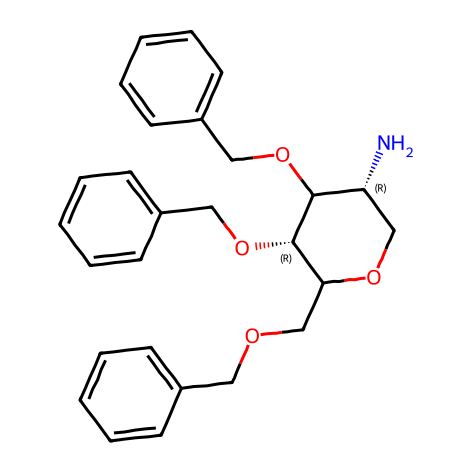 N[C@@H]1COC(COCc2ccccc2)[C@H](OCc2ccccc2)C1OCc1ccccc1